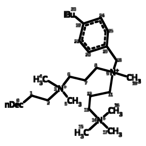 CCCCCCCCCCCC[N+](C)(C)CCC[N+](C)(CCC[N+](C)(C)C)Cc1ccc(C(C)CC)cc1